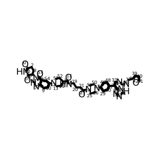 O=C1CCC(n2nnc3ccc(N4CCC(C(=O)NCCCC(=O)N5CCN(c6ccc(-c7cnc(NCc8ccco8)n8cnnc78)cc6)CC5)CC4)cc3c2=O)C(=O)N1